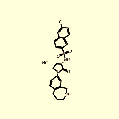 Cl.O=C1[C@@H](NS(=O)(=O)c2ccc3cc(Cl)ccc3c2)CCN1c1ccc2c(c1)CNCCC2